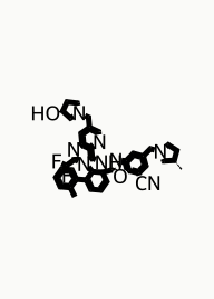 Cc1ccccc1C1=CC=CC(Nc2nc(C(F)F)nc3cc(CN4CC[C@@H](O)C4)cnc23)(c2nc3cc(CN4CC[C@H](C)C4)cc(C#N)c3o2)C1C